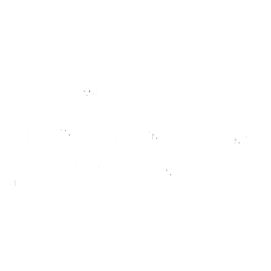 COc1cc(-c2cnc3cc(OC(C)N(C)C)ccn23)cc(OC(F)F)n1